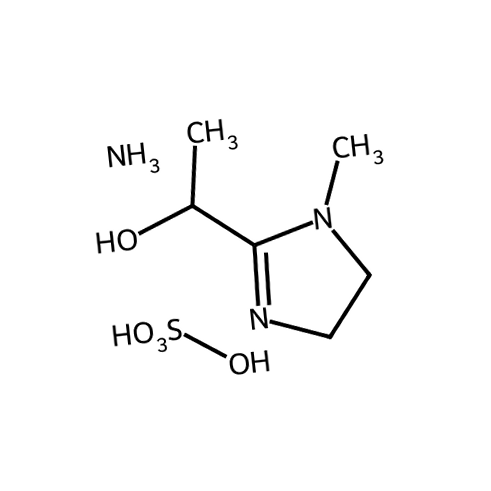 CC(O)C1=NCCN1C.N.O=S(=O)(O)O